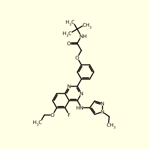 CCOc1ccc2nc(-c3cccc(OCC(=O)NC(C)(C)C)c3)nc(Nc3cnn(CC)c3)c2c1F